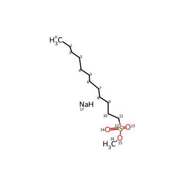 CCCCCCCCCCCCS(=O)(=O)OC.[NaH]